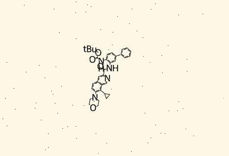 CC(C)(C)OC(=O)Nc1ccc(-c2ccccc2)cc1NC(=O)c1cc2ccc(N3CCOCC3)c(C3CC3)c2cn1